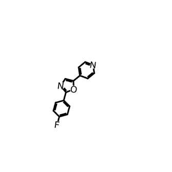 Fc1ccc(-c2ncc(-c3ccncc3)o2)cc1